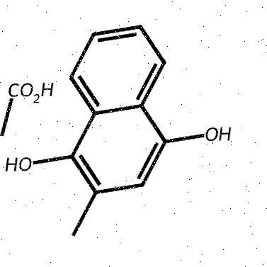 CC(=O)O.Cc1cc(O)c2ccccc2c1O